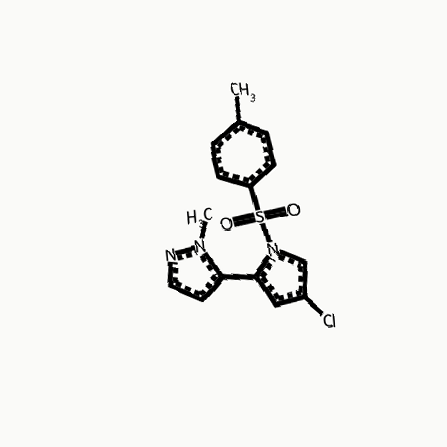 Cc1ccc(S(=O)(=O)n2cc(Cl)cc2-c2ccnn2C)cc1